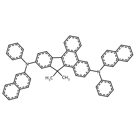 CC1(C)c2cc(N(c3ccccc3)c3ccc4ccccc4c3)ccc2-c2c1c1ccc(N(c3ccccc3)c3ccc4ccccc4c3)cc1c1ccccc21